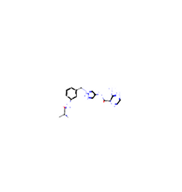 CC(C)C(=O)Nc1cccc(Cn2cc(NC(=O)c3nccnc3N)cn2)c1